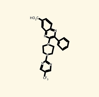 O=C(O)c1ccc2nc(-c3ccccc3)c(N3CCN(c4ncc(C(F)(F)F)cn4)CC3)nc2c1